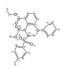 CCOC(=O)c1cccc(Oc2ccccc2)c1C(C(=O)OC)N(C)S(=O)(=O)c1ccc(C)cc1